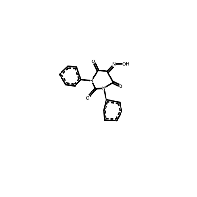 O=C1C(=NO)C(=O)N(c2ccccc2)C(=O)N1c1ccccc1